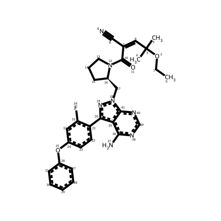 CCOC(C)(C)/C=C(/C#N)C(=O)N1CCC[C@@H]1Cn1nc(-c2ccc(Oc3ccccc3)cc2F)c2c(N)ncnc21